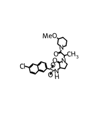 COC1CCCN(C(=O)C(C)N2CCC(NS(=O)(=O)c3ccc4cc(Cl)ccc4c3)C2=O)C1